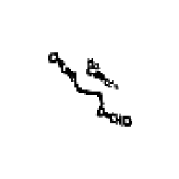 C=C.O=C=NCCOC=O